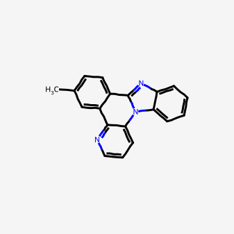 Cc1ccc2c(c1)c1ncccc1n1c3ccccc3nc21